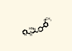 COc1cccc(C2CCN(C/C(=C/NCc3ccccn3)N=N)CC2)c1